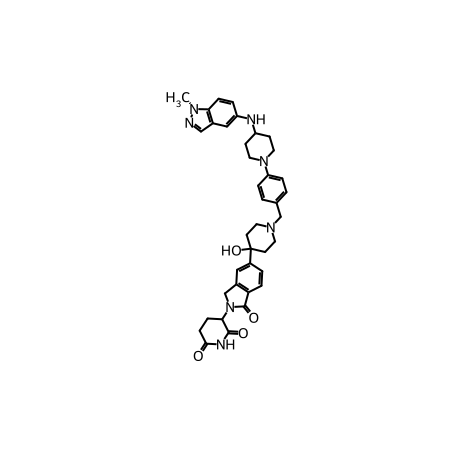 Cn1ncc2cc(NC3CCN(c4ccc(CN5CCC(O)(c6ccc7c(c6)CN(C6CCC(=O)NC6=O)C7=O)CC5)cc4)CC3)ccc21